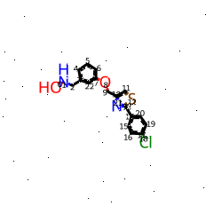 ONCc1cccc(OCc2csc(-c3ccc(Cl)cc3)n2)c1